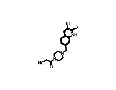 CCc1cc2ccc(CN3CCN(C(=O)CC#N)CC3)cc2[nH]c1=O